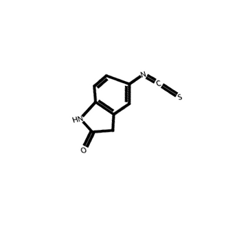 O=C1Cc2cc(N=C=S)ccc2N1